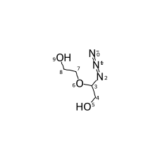 [N-]=[N+]=NC(CO)OCCO